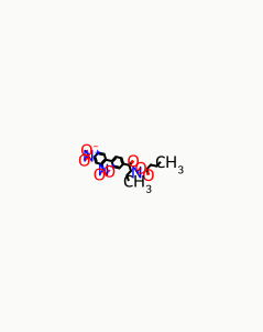 CCCC(=O)O/N=C(/CC)C(=O)c1ccc(-c2ccc([N+](=O)[O-])cc2[N+](=O)[O-])cc1